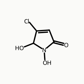 O=C1C=C(Cl)C(O)N1O